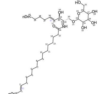 CCCCCCCC/C=C/CCCCCCCCCCCCCC(=O)N[C@@H](COC1OC(CO)C(O)C(O)C1O)[C@H](O)/C=C/CCCCCCCCCCCCC